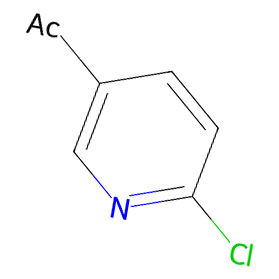 [CH2]C(=O)c1ccc(Cl)nc1